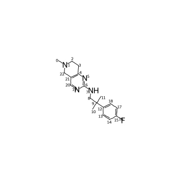 CN1CCc2nc(NCC(C)(C)c3ccc(F)cc3)ncc2C1